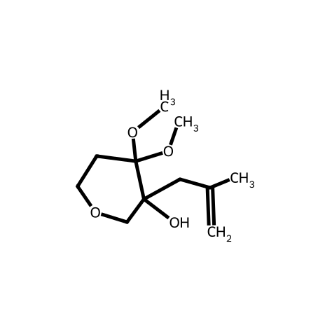 C=C(C)CC1(O)COCCC1(OC)OC